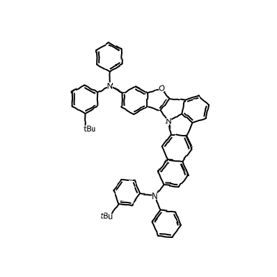 CC(C)(C)c1cccc(N(c2ccccc2)c2ccc3cc4c5cccc6c7oc8cc(N(c9ccccc9)c9cccc(C(C)(C)C)c9)ccc8c7n(c4cc3c2)c56)c1